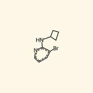 Brc1cccnc1NC1CCC1